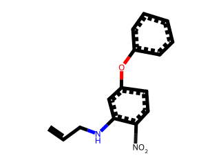 C=CCNc1cc(Oc2ccccc2)ccc1[N+](=O)[O-]